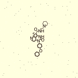 O=C(NCCN1CCCCC1)c1sc2nccc3c2c1NC(=O)N3c1ccc(Oc2ccccc2)cc1